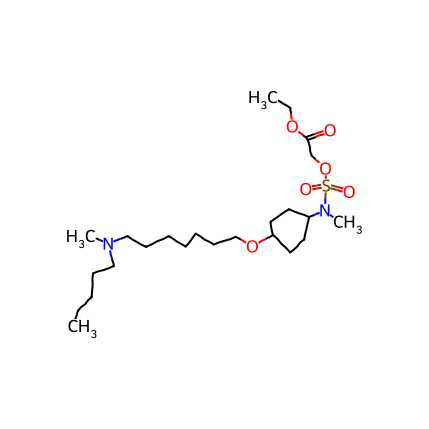 CCCCCN(C)CCCCCCCOC1CCC(N(C)S(=O)(=O)OCC(=O)OCC)CC1